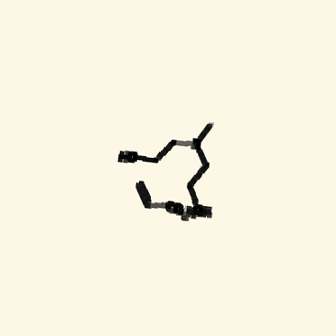 C=CC(=O)O.CN(CCO)CCO